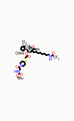 CC[C@@H](C)C([C@@H]1[C@H](OC)CCC1(C)C)[C@@H](C[C@](C)(CCCCCCCCNC(=O)C(F)(F)F)C(=O)C(C)C)OC(=O)CSC1CCN(C(=O)CNC(=O)OC(C)(C)C)CC1